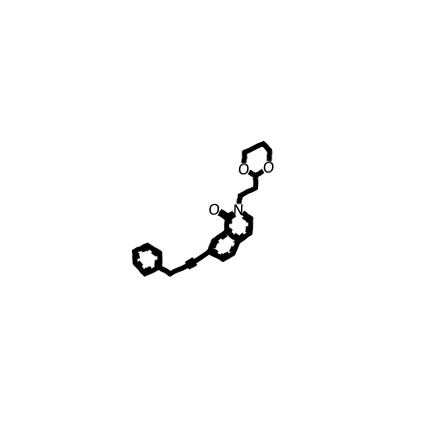 O=c1c2cc(C#CCc3ccccc3)ccc2ccn1CCC1OCCCO1